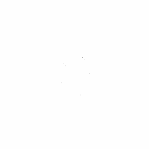 Oc1n[c]nc2[nH]cnc12